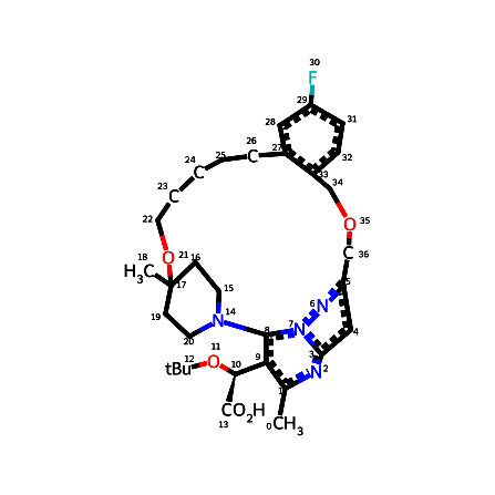 Cc1nc2cc3nn2c(c1[C@H](OC(C)(C)C)C(=O)O)N1CCC(C)(CC1)OCCCCCc1cc(F)ccc1COC3